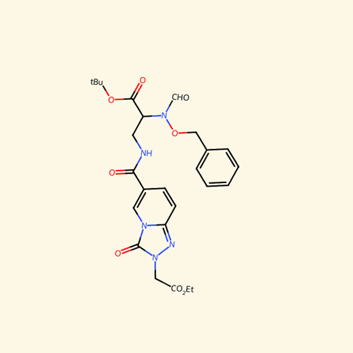 CCOC(=O)Cn1nc2ccc(C(=O)NCC(C(=O)OC(C)(C)C)N(C=O)OCc3ccccc3)cn2c1=O